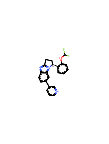 FC(F)Oc1ccccc1[C@@H]1CCc2nc3ccc(-c4cccnc4)cc3n21